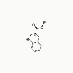 CC(C)OC(=O)[C@H]1CNc2ccccc2C1